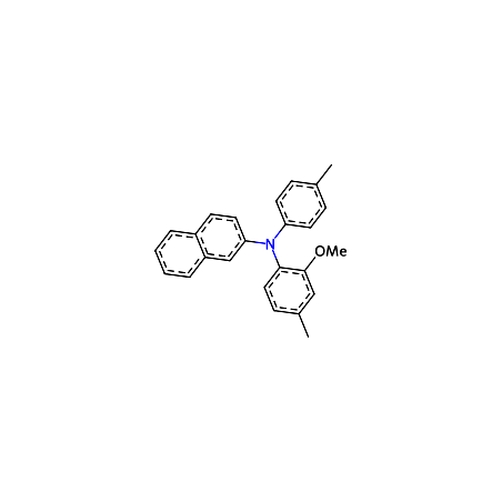 COc1cc(C)ccc1N(c1ccc(C)cc1)c1ccc2ccccc2c1